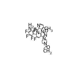 C=CC(=O)N1CCN(c2nc(=O)n(-c3c(C)ccnc3C(C)C)c3nc(-c4c(F)c(N)c(F)c(F)c4F)c(F)cc23)CC1